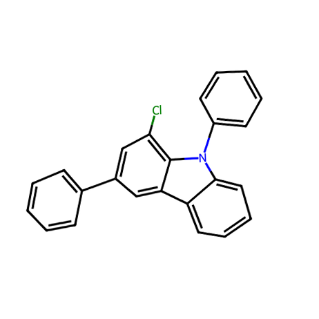 Clc1cc(-c2ccccc2)cc2c3ccccc3n(-c3ccccc3)c12